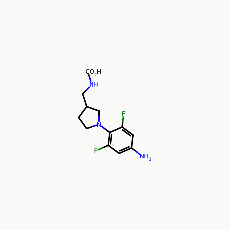 Nc1cc(F)c(N2CCC(CNC(=O)O)C2)c(F)c1